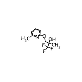 Cc1cccc(OCC(C)(O)C(F)(F)F)n1